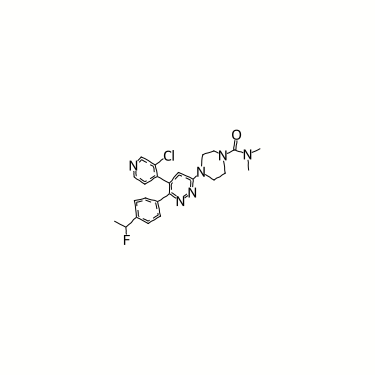 CC(F)c1ccc(-c2nnc(N3CCN(C(=O)N(C)C)CC3)cc2-c2ccncc2Cl)cc1